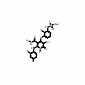 CNS(=O)(=O)Nc1cccc(Oc2c(C(=O)NC(C)C)c(Nc3ccc(I)cc3F)n(C)c(=O)c2C)c1Cl